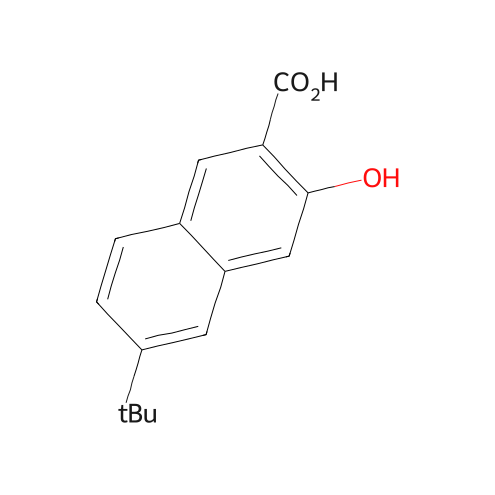 CC(C)(C)c1ccc2cc(C(=O)O)c(O)cc2c1